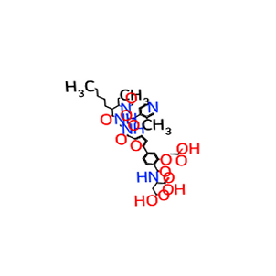 CCCCCC(C(=O)NCNC(=O)c1ccc(-c2ccc(C(=O)NC(CC(=O)O)C(=O)O)c(OCC(=O)O)c2)o1)C(CC)N(C=O)OC(=O)c1ccncc1C